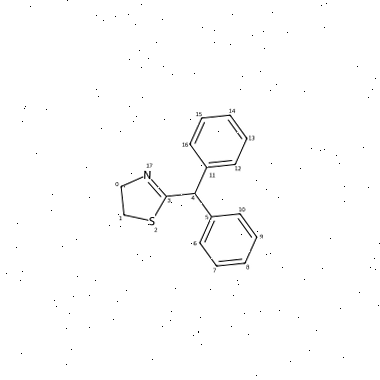 [CH]1CSC(C(c2ccccc2)c2ccccc2)=N1